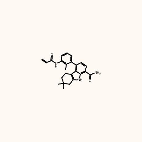 C=CC(=O)Nc1cccc(-c2ccc(C(N)=O)c3[nH]c4c(c23)CCC(C)(C)C4)c1C